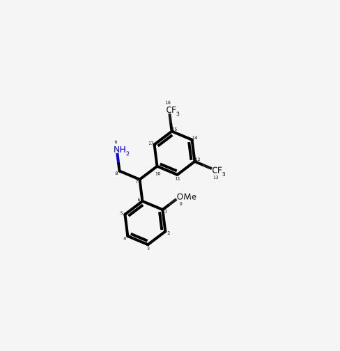 COc1ccccc1C(CN)c1cc(C(F)(F)F)cc(C(F)(F)F)c1